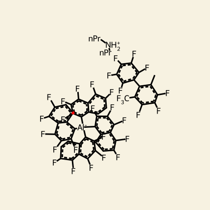 CCC[NH2+]CCC.Cc1c(F)c(F)c(F)c(C(F)(F)F)c1-c1c(F)c(F)c(F)c(F)c1F.Fc1ccc2[c]([Al-]([c]3c(F)c(F)c(F)c4c(F)c(F)ccc34)([c]3c(F)c(F)c(F)c4c(F)c(F)ccc34)[c]3c(F)c(F)c(F)c4c(F)c(F)ccc34)c(F)c(F)c(F)c2c1F